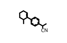 CC1CCCC=C1c1ccc(C(C)C#N)cc1